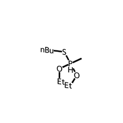 CCCCS[PH](C)(OCC)OCC